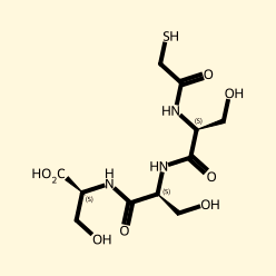 O=C(CS)N[C@@H](CO)C(=O)N[C@@H](CO)C(=O)N[C@@H](CO)C(=O)O